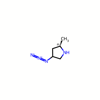 C[C@@H]1CC(N=[N+]=[N-])CN1